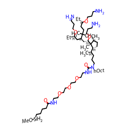 CCCCCCCCN(CCC[C@@H](C)[C@H]1CC[C@@H](C)[C@]1(C)[C@H](C[C@@H](C[C@@H](CC)OCCCN)C(C)(C)CC[C@H](CC)OCCCN)OCCCN)C(=O)NCCOCCOCCOCCNC(=O)CCCC[SiH2]OC